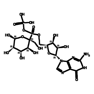 Nc1nc2c(ncn2[C@@H]2O[C@H](COP(=O)(OP(=O)(O)O)[C@]3(CO)O[C@H](O)[C@@H](O)[C@@H](O)[C@@H]3O)[C@@H](O)[C@H]2O)c(=O)[nH]1